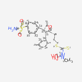 CN(O)C(=S)SCCCc1occ(-c2ccc(S(N)(=O)=O)cc2)c1-c1ccccc1